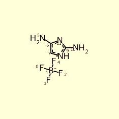 F[B-](F)(F)F.Nc1c[nH]c(N)n1